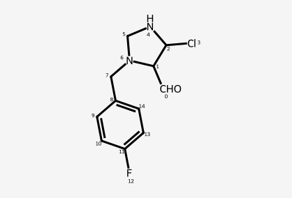 O=CC1C(Cl)NCN1Cc1ccc(F)cc1